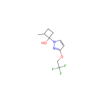 CC1CCC1(O)n1ccc(OCC(F)(F)F)n1